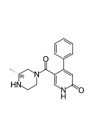 C[C@@H]1CN(C(=O)c2c[nH]c(=O)cc2-c2ccccc2)CCN1